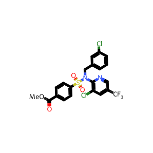 COC(=O)c1ccc(S(=O)(=O)N(Cc2cccc(Cl)c2)c2ncc(C(F)(F)F)cc2Cl)cc1